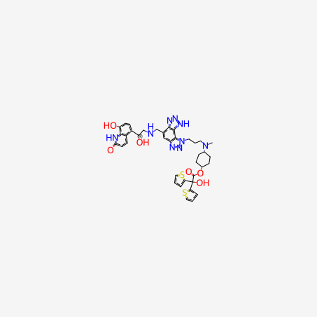 CN(CCCn1nnc2cc(CNC[C@H](O)c3ccc(O)c4[nH]c(=O)ccc34)c3nn[nH]c3c21)[C@H]1CC[C@H](OC(=O)C(O)(c2cccs2)c2cccs2)CC1